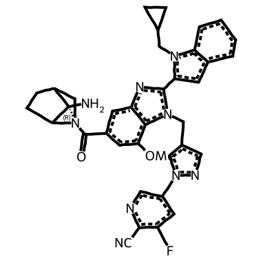 COc1cc(C(=O)N2CC3CCC2[C@]3(C)N)cc2nc(-c3cc4ccccc4n3CC3CC3)n(Cc3cnn(-c4cnc(C#N)c(F)c4)c3)c12